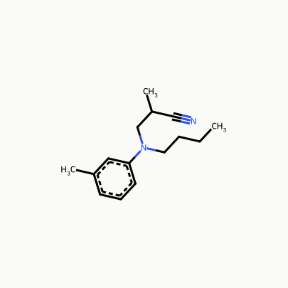 CCCCN(CC(C)C#N)c1cccc(C)c1